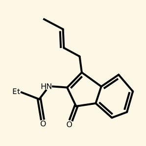 CC=CCC1=C(NC(=O)CC)C(=O)c2ccccc21